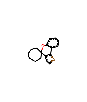 c1ccc2c(c1)OC1(CCCCCC1)c1ccsc1-2